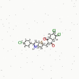 Cn1c(-c2ccc(Cl)cc2)cc2sc(C=C3C(=O)c4cc(Cl)c(Cl)cc4C3=O)cc21